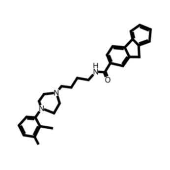 Cc1cccc(N2CCN(CCCCNC(=O)c3ccc4c(c3)Cc3ccccc3-4)CC2)c1C